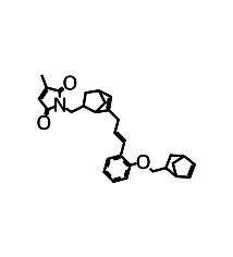 CC1=CC(=O)N(CC2CC3C=C(C/C=C/c4ccccc4OCC4CC5C=CC4C5)C2C3)C1=O